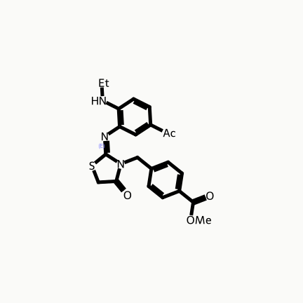 CCNc1ccc(C(C)=O)cc1/N=C1/SCC(=O)N1Cc1ccc(C(=O)OC)cc1